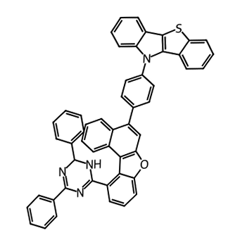 c1ccc(C2=NC(c3ccccc3)NC(c3cccc4oc5cc(-c6ccc(-n7c8ccccc8c8sc9ccccc9c87)cc6)c6ccccc6c5c34)=N2)cc1